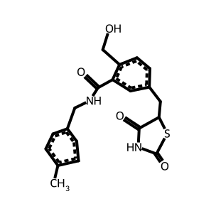 Cc1ccc(CNC(=O)c2cc(CC3SC(=O)NC3=O)ccc2CO)cc1